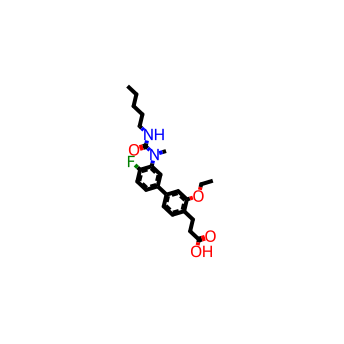 CCCCCNC(=O)N(C)c1cc(-c2ccc(CCC(=O)O)c(OCC)c2)ccc1F